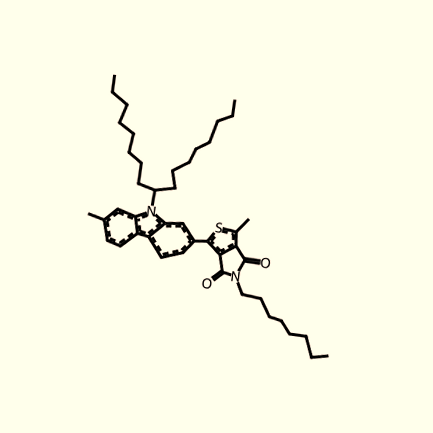 CCCCCCCCC(CCCCCCCC)n1c2cc(C)ccc2c2ccc(-c3sc(C)c4c3C(=O)N(CCCCCCCC)C4=O)cc21